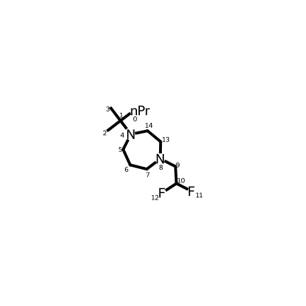 CCCC(C)(C)N1CCCN(CC(F)F)CC1